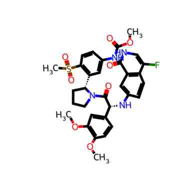 COC(=O)Nc1ccc(S(C)(=O)=O)c([C@H]2CCCN2C(=O)[C@H](Nc2ccc3c(F)c[nH]c(=O)c3c2)c2ccc(OC)c(OC)c2)c1